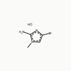 Cl.Cn1cc(Br)nc1N